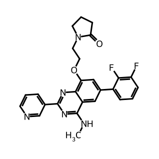 CNc1nc(-c2cccnc2)nc2c(OCCN3CCCC3=O)cc(-c3cccc(F)c3F)cc12